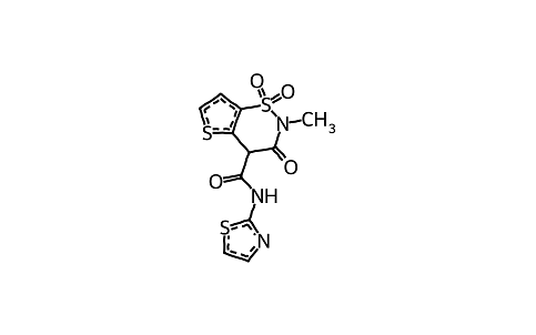 CN1C(=O)C(C(=O)Nc2nccs2)c2sccc2S1(=O)=O